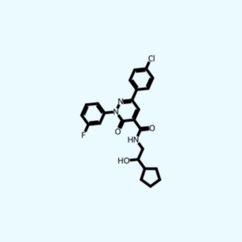 O=C(NCC(O)C1CCCC1)c1cc(-c2ccc(Cl)cc2)nn(-c2cccc(F)c2)c1=O